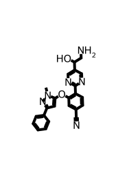 Cn1nc(-c2ccccc2)cc1Oc1cc(C#N)ccc1-c1ncc(C(O)CN)cn1